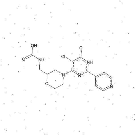 O=C(O)NCC1CN(c2nc(-c3ccncc3)[nH]c(=O)c2Cl)CCO1